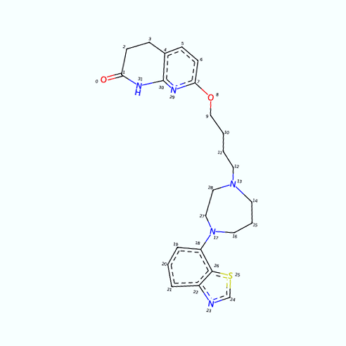 O=C1CCc2ccc(OCCCCN3CCCN(c4cccc5ncsc45)CC3)nc2N1